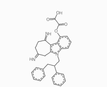 N=C1CCC(=N)c2c(n(CC(Cc3ccccc3)c3ccccc3)c3cccc(OC(=O)C(=O)O)c23)C1